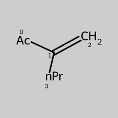 [CH2]C(=O)C(=C)CCC